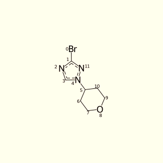 Brc1ncn(C2CCOCC2)n1